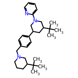 CC(C)(C)C1CCCN(Cc2ccc(C3CC(C(C)(C)C)CN(c4ccccn4)C3)cc2)C1